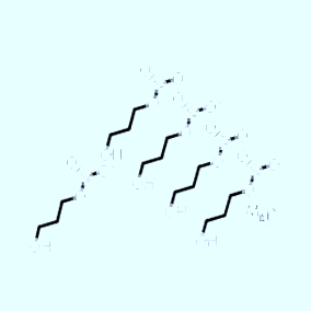 O=[Si]([O-])OCCCO.O=[Si]([O-])OCCCO.O=[Si]([O-])OCCCO.O=[Si]([O-])OCCCO.O=[Si]([O-])OCCCO.[Al+3].[Mg+2]